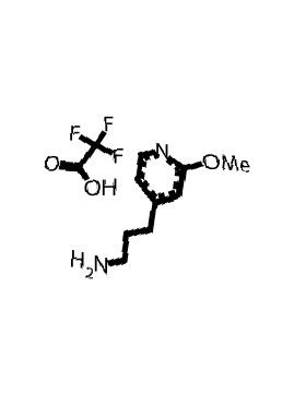 COc1cc(CCCN)ccn1.O=C(O)C(F)(F)F